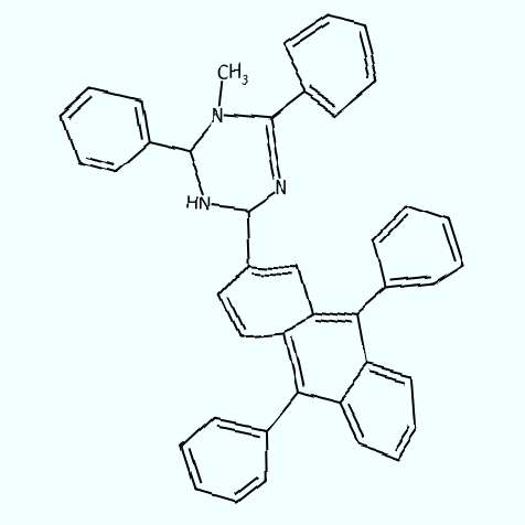 CN1C(c2ccccc2)=NC(c2ccc3c(-c4ccccc4)c4ccccc4c(-c4ccccc4)c3c2)NC1c1ccccc1